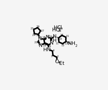 CCOCCCNc1nc(N[C@H]2CC[C@H](N)CC2)nc2c1ncn2C1CCCC1.Cl.Cl